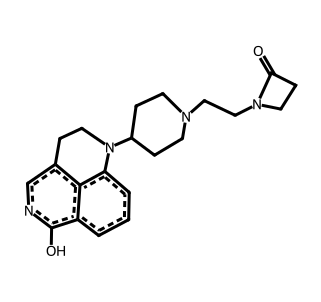 O=C1CCN1CCN1CCC(N2CCc3cnc(O)c4cccc2c34)CC1